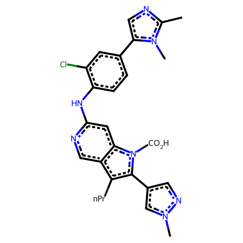 CCCc1c(-c2cnn(C)c2)n(C(=O)O)c2cc(Nc3ccc(-c4cnc(C)n4C)cc3Cl)ncc12